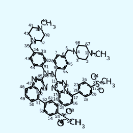 CN1CCN(Cc2ccc(N(c3nc4cccc(-c5ccc(S(C)(=O)=O)cc5)n4n3)N(c3ccc(CN4CCN(C)CC4)cc3)c3nc4cccc(-c5ccc(S(C)(=O)=O)cc5)n4n3)cc2)CC1